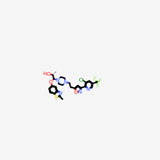 Cc1nc2cc(OC([C@@H](C)O)N3CCN(CCc4cc(-c5ncc(C(F)(F)F)cc5Cl)no4)CC3)ccc2s1